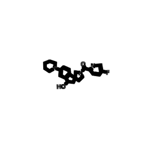 O=C(c1ccc(F)cn1)N1CCC2(CC(O)c3cc(N4CCCCC4)ccc32)C1